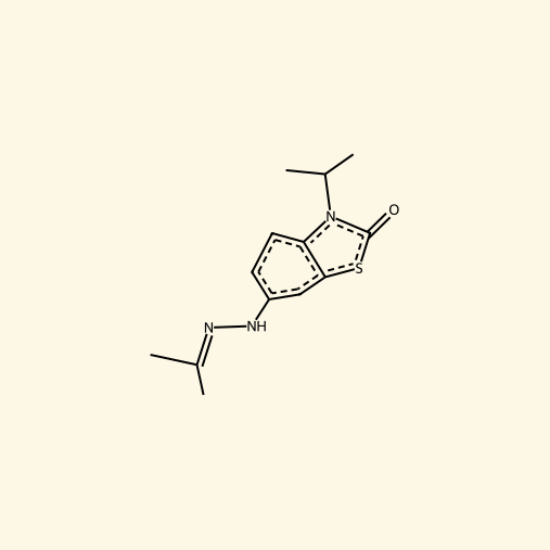 CC(C)=NNc1ccc2c(c1)sc(=O)n2C(C)C